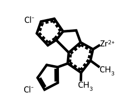 Cc1c(C)c(C2=CC=CC2)c2c([c]1[Zr+2])Cc1ccccc1-2.[Cl-].[Cl-]